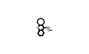 CONc1c2c(nc3ccccc13)CCCCC2